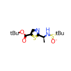 C[C@H](N[S@+]([O-])C(C)(C)C)c1ncc(C(=O)OC(C)(C)C)s1